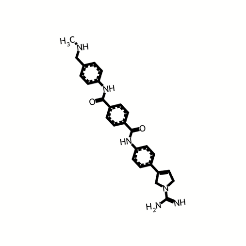 CNCc1ccc(NC(=O)c2ccc(C(=O)Nc3ccc(C4=CCN(C(=N)N)C4)cc3)cc2)cc1